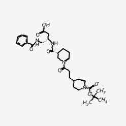 CC(C)(C)OC(=O)N1CCC(CCC(=O)N2CCC[C@@H](C(=O)N[C@H](CNC(=O)c3ccccc3)CC(=O)O)C2)CC1